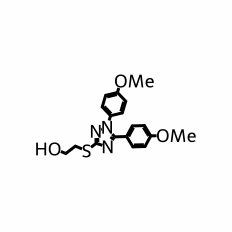 COc1ccc(-c2nc(SCCO)nn2-c2ccc(OC)cc2)cc1